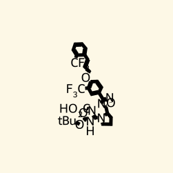 CC(C)(C)OC(=O)NC(=NC(=O)O)N1CCCC1c1nc(-c2ccc(OC/C=C/c3ccccc3C(F)(F)F)c(C(F)(F)F)c2)no1